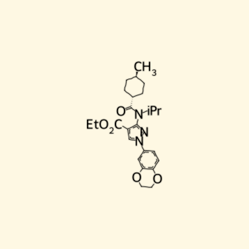 CCOC(=O)c1cn(-c2ccc3c(c2)OCCO3)nc1N(C(=O)[C@H]1CC[C@H](C)CC1)C(C)C